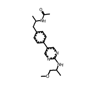 COCC(C)Nc1ncc(-c2ccc(CC(C)NC(C)=O)cc2)cn1